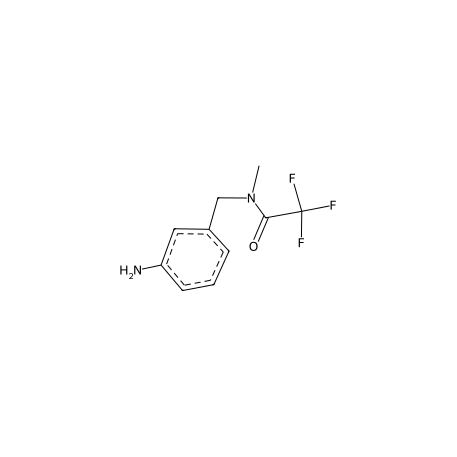 CN(Cc1cccc(N)c1)C(=O)C(F)(F)F